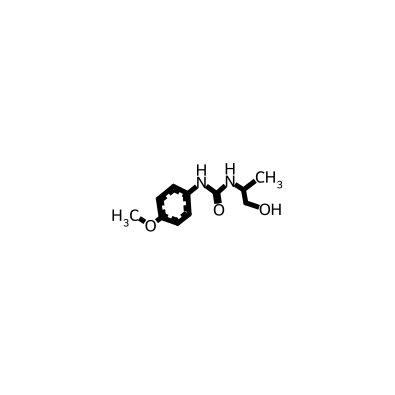 COc1ccc(NC(=O)NC(C)CO)cc1